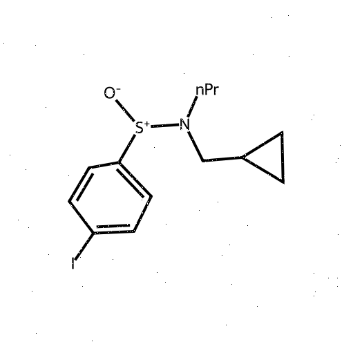 CCCN(CC1CC1)[S+]([O-])c1ccc(I)cc1